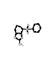 Cc1nc2c(S(=O)(=O)c3ccccc3)cccc2o1